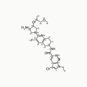 CCn1cc(Cl)c2cc(C(=O)NC3CCc4nc(N5CC(N)C(OC(C)COC)C5)c(F)cc4C3)nnc21